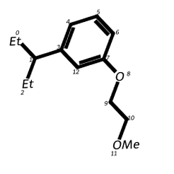 CCC(CC)c1cccc(OCCOC)c1